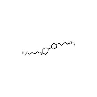 C=CCCC[C@H]1CC[C@H]([C@H]2CC[C@H](OCCCCC)CC2)CC1